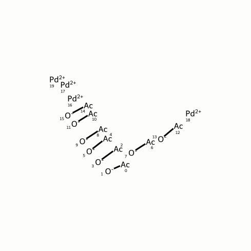 CC(=O)[O-].CC(=O)[O-].CC(=O)[O-].CC(=O)[O-].CC(=O)[O-].CC(=O)[O-].CC(=O)[O-].CC(=O)[O-].[Pd+2].[Pd+2].[Pd+2].[Pd+2]